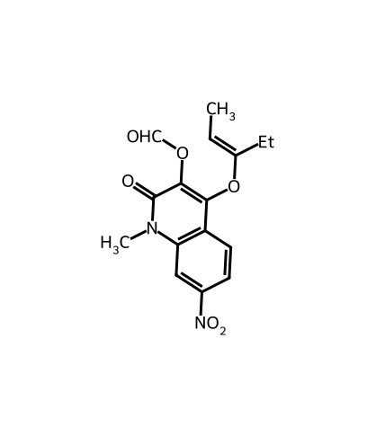 CC=C(CC)Oc1c(OC=O)c(=O)n(C)c2cc([N+](=O)[O-])ccc12